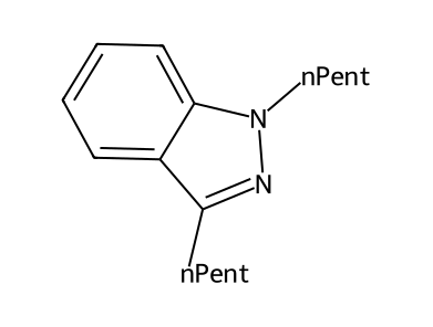 CCCCCc1nn(CCCCC)c2ccccc12